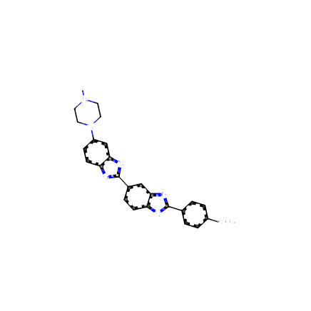 CNc1ccc(-c2nc3cc(-c4nc5cc(N6CCN(C)CC6)ccc5[nH]4)ccc3[nH]2)cc1